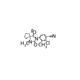 Cc1c(N2C(=O)N(C)[C@@]3(CCC[C@@H]3F)C2=O)ccc(C#N)c1Cl